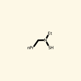 CCCCN(S)CC